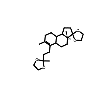 CC1=C(CCC2(C)OCCO2)C2CC[C@]3(C)C(CCC34OCCO4)C2CC1